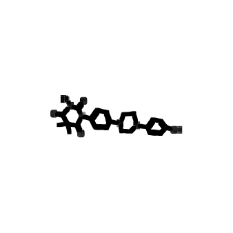 CCN1C(=O)N(c2ccc(N3CCN(c4ccc(O)cc4)CC3)cc2)C(=O)C(C)(C)C1=O